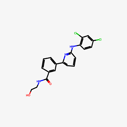 O=C(NCCO)c1cccc(-c2cccc(Nc3ccc(Cl)cc3Cl)n2)c1